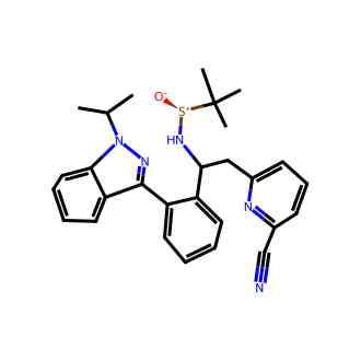 CC(C)n1nc(-c2ccccc2C(Cc2cccc(C#N)n2)N[S@@+]([O-])C(C)(C)C)c2ccccc21